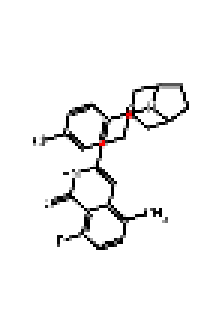 Cc1ccc(F)c2c(=O)[nH]c(CCCN3C4CCC3CN(c3ccc(Cl)cc3)C4)cc12